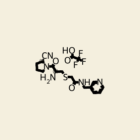 N#C[C@@H]1CCCN1C(=O)[C@@H](N)CSCC(=O)NCc1cccnc1.O=C(O)C(F)(F)F